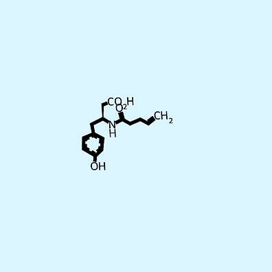 C=CCCC(=O)N[C@H](CC(=O)O)Cc1ccc(O)cc1